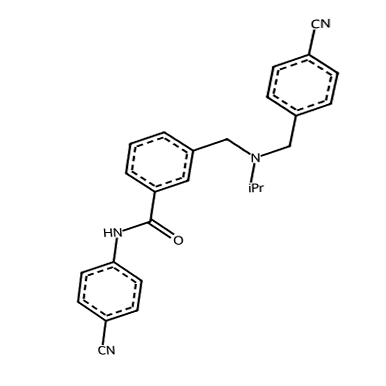 CC(C)N(Cc1ccc(C#N)cc1)Cc1cccc(C(=O)Nc2ccc(C#N)cc2)c1